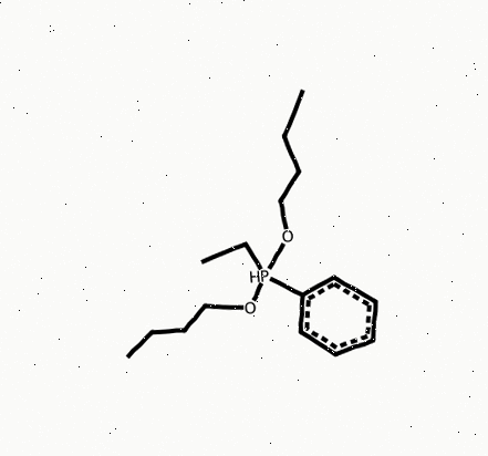 CCCCO[PH](CC)(OCCCC)c1ccccc1